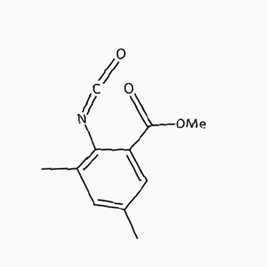 COC(=O)c1cc(C)cc(C)c1N=C=O